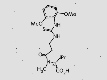 COc1cccc(OC)c1NC(=S)NCCC(=O)N(C)[C@H](C(=O)O)C(C)C